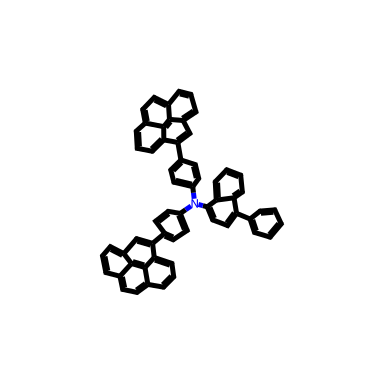 c1ccc(-c2ccc(N(c3ccc(-c4cc5cccc6ccc7cccc4c7c65)cc3)c3ccc(-c4cc5cccc6ccc7cccc4c7c65)cc3)c3ccccc23)cc1